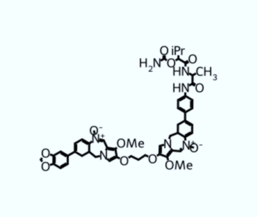 COc1c(OCCCOc2cn3c(c2OC)C=[N+]([O-])C2=CC=C(c4ccc5c(c4)OCO5)CC2C3)cn2c1C=[N+]([O-])C1=CC=C(c3ccc(NC(=O)C(C)NC(=O)C(OC(N)=O)C(C)C)cc3)CC1C2